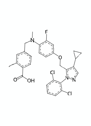 Cc1cc(CN(C)c2ccc(OCc3c(C4CC4)cnn3-c3c(Cl)cccc3Cl)cc2F)ccc1C(=O)O